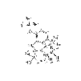 [2H]C([2H])([2H])Oc1ccc2c3c1OC1C([2H])(O)C=C[C@@]4([2H])[C@H](N(C)CC[C@]314)C2([2H])[2H]